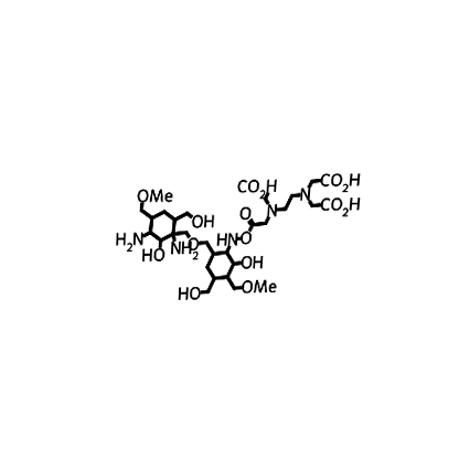 COCC1CC(CO)C(N)(COCC2CC(CO)C(COC)C(O)C2NOC(=O)CN(CCN(CC(=O)O)CC(=O)O)CC(=O)O)C(O)C1N